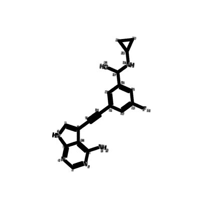 Nc1ncnc2[nH]cc(C#Cc3cc(F)cc(C(O)NC4CC4)c3)c12